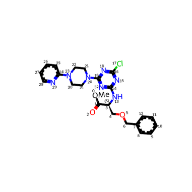 COC(=O)[C@H](COCc1ccccc1)Nc1nc(Cl)nc(N2CCN(c3ccccn3)CC2)n1